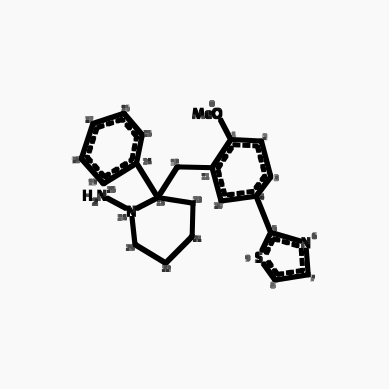 COc1ccc(-c2nccs2)cc1CC1(c2ccccc2)CCCCN1N